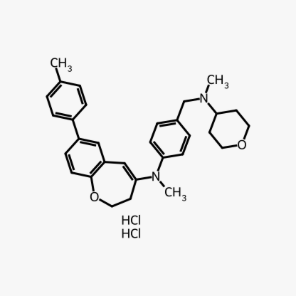 Cc1ccc(-c2ccc3c(c2)C=C(N(C)c2ccc(CN(C)C4CCOCC4)cc2)CCO3)cc1.Cl.Cl